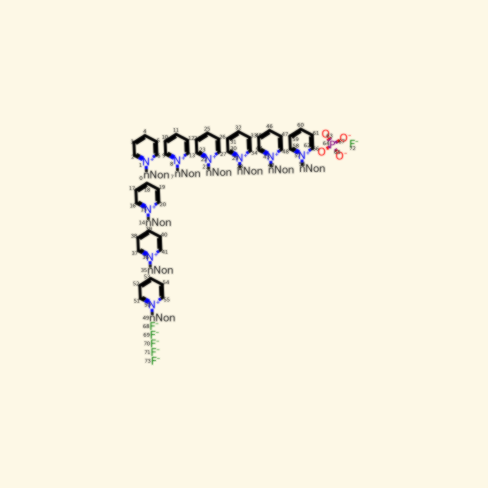 CCCCCCCCC[n+]1ccccc1.CCCCCCCCC[n+]1ccccc1.CCCCCCCCC[n+]1ccccc1.CCCCCCCCC[n+]1ccccc1.CCCCCCCCC[n+]1ccccc1.CCCCCCCCC[n+]1ccccc1.CCCCCCCCC[n+]1ccccc1.CCCCCCCCC[n+]1ccccc1.CCCCCCCCC[n+]1ccccc1.O=P([O-])([O-])[O-].[F-].[F-].[F-].[F-].[F-].[F-]